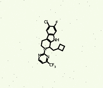 Fc1cc2[nH]c3c(c2cc1Cl)CCN(c1nccc(C(F)(F)F)n1)C3CC1CCC1